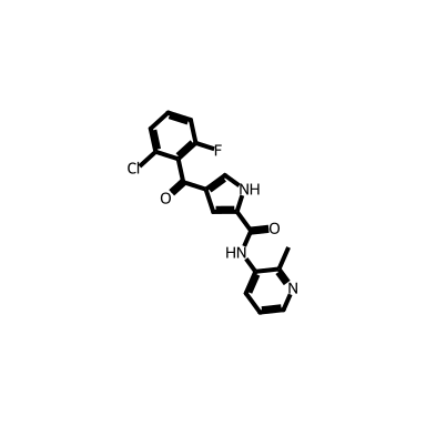 Cc1ncccc1NC(=O)c1cc(C(=O)c2c(F)cccc2Cl)c[nH]1